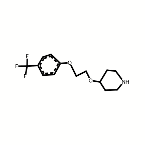 FC(F)(F)c1ccc(OCCOC2CCNCC2)cc1